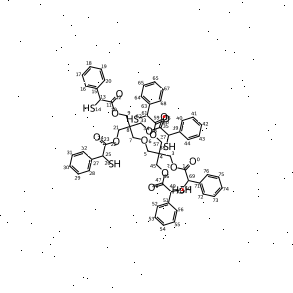 O=C(OCC(COCC(COC(=O)C(S)c1ccccc1)(COC(=O)C(S)c1ccccc1)COC(=O)C(S)c1ccccc1)(COC(=O)C(S)c1ccccc1)COC(=O)C(S)c1ccccc1)C(S)c1ccccc1